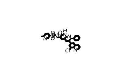 Cc1ccc(S(=O)(=O)NCc2cc3cc(-c4cc(Cl)c5ncccc5c4)c(-c4ccccc4)nc3[nH]c2=O)cn1